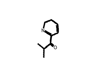 CC(C)C(=O)C1=NCCC=C1